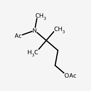 CC(=O)OCCC(C)(C)N(C)C(C)=O